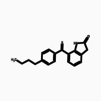 CCCCc1ccc(C(=S)c2cccc3c2NC(=O)C3)cc1